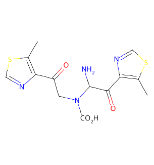 Cc1scnc1C(=O)CN(C(=O)O)C(N)C(=O)c1ncsc1C